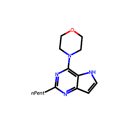 CCCCCc1nc(N2CCOCC2)c2[nH]ccc2n1